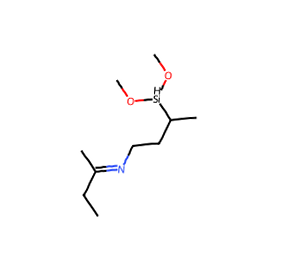 CCC(C)=NCCC(C)[SiH](OC)OC